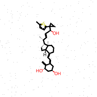 C=C1/C(=C\C=C2/CCC[C@]3(C)[C@@H]([C@H](C)/C=C/[C@H](O)C4(c5ccc(C)s5)CC4)CC[C@@H]23)C[C@@H](O)C[C@@H]1O